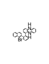 Brc1c(-c2ccccc2-c2cccc3c2Nc2ccccc2N3)ccc2ccccc12